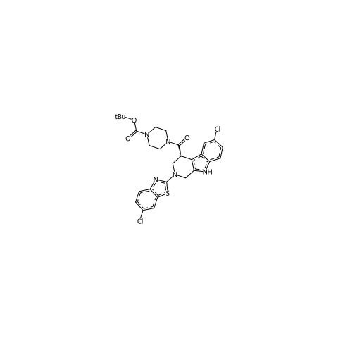 CC(C)(C)OC(=O)N1CCN(C(=O)[C@@H]2CN(c3nc4ccc(Cl)cc4s3)Cc3[nH]c4ccc(Cl)cc4c32)CC1